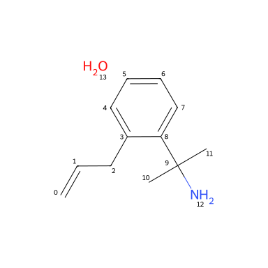 C=CCc1ccccc1C(C)(C)N.O